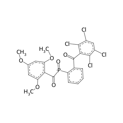 COc1cc(OC)c(C(=O)[P](=O)c2ccccc2C(=O)c2c(Cl)c(Cl)cc(Cl)c2Cl)c(OC)c1